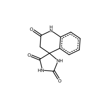 O=C1CC2(NC(=O)NC2=O)c2ccccc2N1